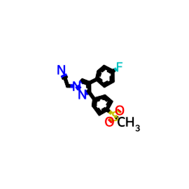 CS(=O)(=O)c1ccc(-c2nn(CC#N)cc2-c2ccc(F)cc2)cc1